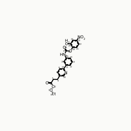 CCOOC(=O)CCc1ccc(-c2cccc(NC(=O)Oc3ccc([N+](=O)[O-])cc3C)c2)nc1